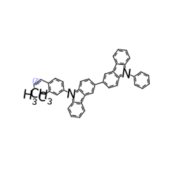 C/C=C\c1ccc(-n2c3ccccc3c3cc(-c4ccc5c(c4)c4ccccc4n5-c4ccccc4)ccc32)cc1C